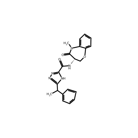 CC(c1ccccc1)c1nnc(C(=O)N[C@H]2COc3ccccc3N(C)C2=O)[nH]1